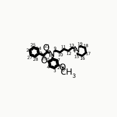 COc1ccc2c(c1)N(CCCCCN1CCCCC1)C(=O)C(c1ccccc1)O2